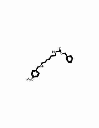 COc1ccc(CNCCCCCCNC(=O)OCc2ccccc2)cc1